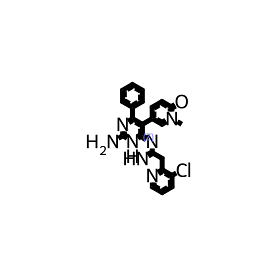 Cn1cc(-c2c(-c3ccccc3)nc(N)[nH]/c2=N\C(=N)Cc2ncccc2Cl)ccc1=O